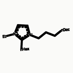 CCCCCCCCCCCCC[n+]1ccn(CC)c1CCCCCC